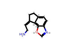 NC/C=C1/CCc2ccc3ncoc3c21